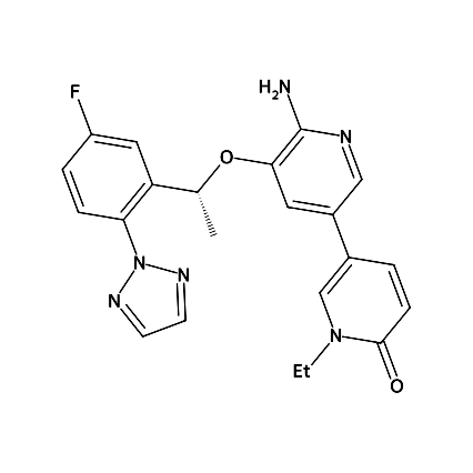 CCn1cc(-c2cnc(N)c(O[C@H](C)c3cc(F)ccc3-n3nccn3)c2)ccc1=O